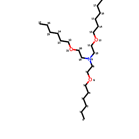 CCCCCCOCCN(CCOCCCCCC)CCOCCCCCC